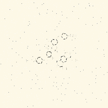 Nc1ccc(Oc2ccc(C(c3ccc(Oc4ccc(N)cc4)cc3)(C(F)(F)F)C(F)(F)F)cc2)cc1.O=C(O)c1cc(C(=O)O)c(C(=O)O)cc1C(=O)O